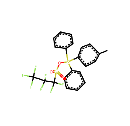 Cc1ccc(S(OS(=O)(=O)C(F)(F)C(F)(F)C(F)(F)F)(c2ccccc2)c2ccccc2)cc1